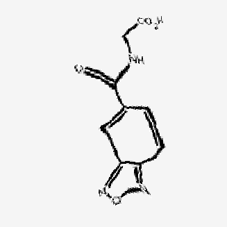 O=C(O)CNC(=O)c1ccc2nonc2c1